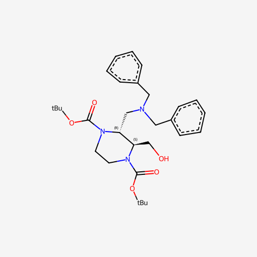 CC(C)(C)OC(=O)N1CCN(C(=O)OC(C)(C)C)[C@H](CN(Cc2ccccc2)Cc2ccccc2)[C@H]1CO